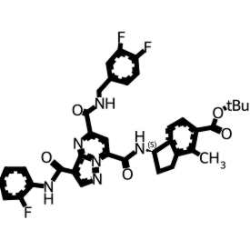 Cc1c(C(=O)OC(C)(C)C)ccc2c1CC[C@@H]2NC(=O)c1cc(C(=O)NCc2ccc(F)c(F)c2)nc2c(C(=O)Nc3ccccc3F)cnn12